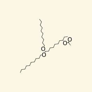 CCCCCCCCCCOC(CCCCCCC(CC)OC(C)=O)OCCCCCCCCCC